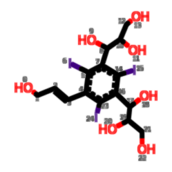 OCC=Cc1c(I)c(C(O)C(O)CO)c(I)c(C(O)C(O)CO)c1I